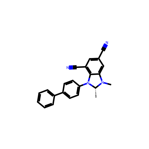 C[C@H]1N(C)c2cc(C#N)cc(C#N)c2N1c1ccc(-c2ccccc2)cc1